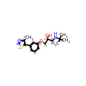 Cc1nnsc1-c1cccc(OCC(O)CNC(C)(C)C)c1